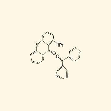 CC(C)c1cccc2sc3ccccc3c(=O)c12.O=C(c1ccccc1)c1ccccc1